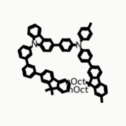 CCCCCCCCC1(CCCCCCCC)c2cc(C)ccc2-c2ccc(-c3ccc(N(c4ccc(C)cc4)c4ccc(-c5ccc6c(c5)c5ccccc5n6-c5cccc(-c6cccc(-c7ccc8c(c7)C(C)(C)c7ccccc7-8)c6)c5)cc4)cc3)cc21